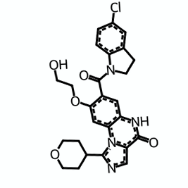 O=C(c1cc2[nH]c(=O)c3cnc(C4CCOCC4)n3c2cc1OCCO)N1CCc2cc(Cl)ccc21